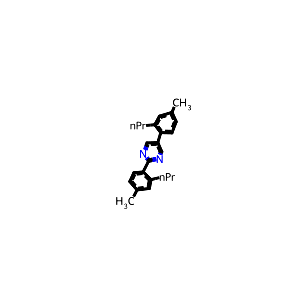 CCCc1cc(C)ccc1-c1cnc(-c2ccc(C)cc2CCC)nc1